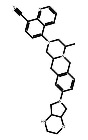 CC1CN(c2ccc(C#N)c3ncccc23)CC2Cc3cc(N4CC5NCCOC5C4)ccc3CN12